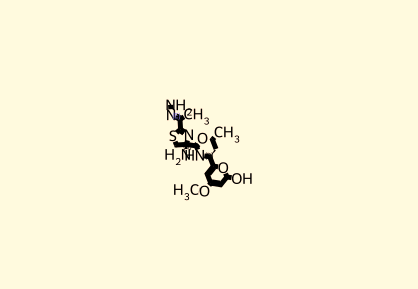 CCC[C@@H](NC(=O)[C@]1(N)CSC(/C(C)=N/N)=N1)C1=CC(OC)=CC(O)O1